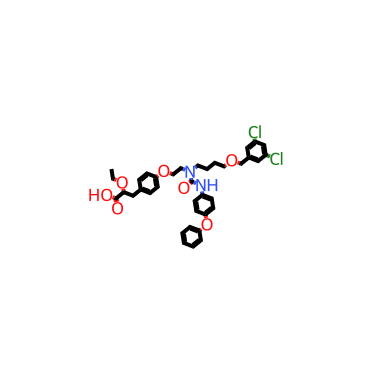 CCOC(Cc1ccc(OCCN(CCCCOCc2cc(Cl)cc(Cl)c2)C(=O)Nc2ccc(Oc3ccccc3)cc2)cc1)C(=O)O